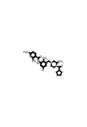 Cc1ccc(C(=O)Nc2cc(F)cc(CN3CCN(C(=O)C4CCCC4)C(C)C3)c2C)c(C)n1